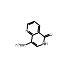 CCCCCc1c[nH]c(=O)c2cccnc12